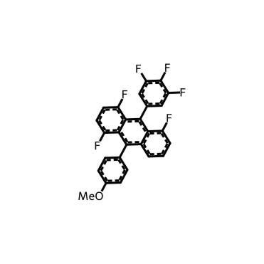 COc1ccc(-c2c3cccc(F)c3c(-c3cc(F)c(F)c(F)c3)c3c(F)ccc(F)c23)cc1